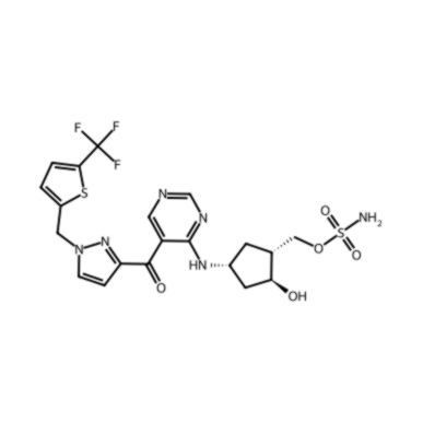 NS(=O)(=O)OC[C@H]1C[C@@H](Nc2ncncc2C(=O)c2ccn(Cc3ccc(C(F)(F)F)s3)n2)C[C@@H]1O